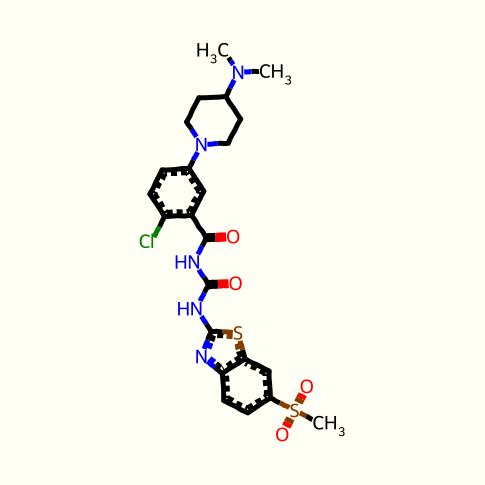 CN(C)C1CCN(c2ccc(Cl)c(C(=O)NC(=O)Nc3nc4ccc(S(C)(=O)=O)cc4s3)c2)CC1